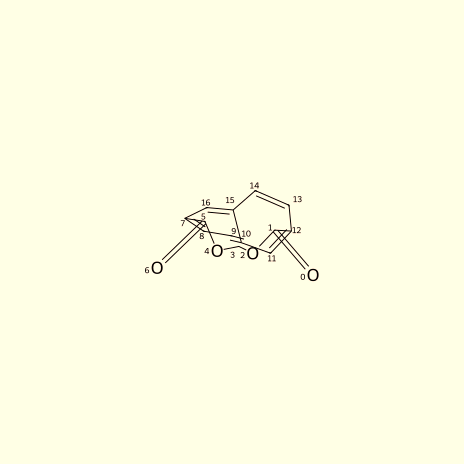 O=C1OCOC(=O)c2ccc3cc1ccc3c2